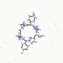 Fc1ccc(-c2c3nc(cc4ccc([nH]4)c(-c4ccc(F)cc4)c4nc(cc5ccc2[nH]5)C=C4)C=C3)cc1.[Co+2]